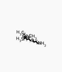 CCOC([SiH3])(CCCOCCCN)OCC